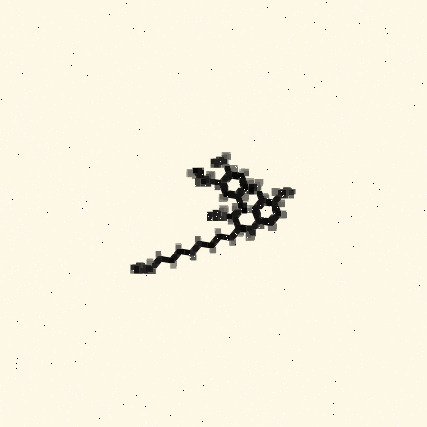 CCCCCCCCCCCCCCCCCCC(=Nc1ccc(CCC)c(CCC)c1)C(CCCC)=Nc1ccc(CCC)c(CCC)c1.[Ni]